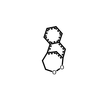 c1ccc2c3cc(cc2c1)OOCC3